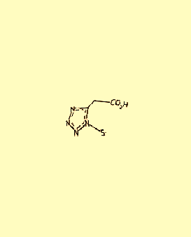 O=C(O)Cc1nnnn1[S]